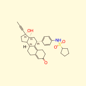 CC#C[C@]1(O)CCC2[C@@H]3CCC4=CC(=O)CCC4=C3[C@@H](c3ccc(NS(=O)(=O)C4CCCC4)cc3)C[C@@]21C